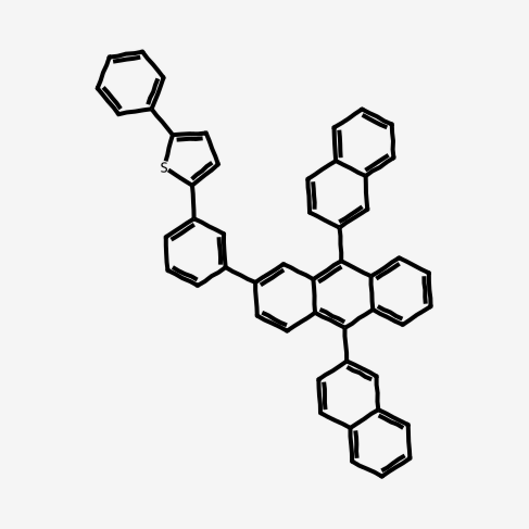 c1ccc(-c2ccc(-c3cccc(-c4ccc5c(-c6ccc7ccccc7c6)c6ccccc6c(-c6ccc7ccccc7c6)c5c4)c3)s2)cc1